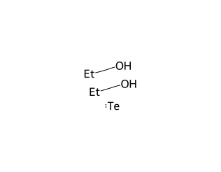 CCO.CCO.[Te]